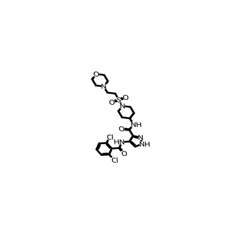 O=C(NC1CCN(S(=O)(=O)CCN2CCOCC2)CC1)c1n[nH]cc1NC(=O)c1c(Cl)cccc1Cl